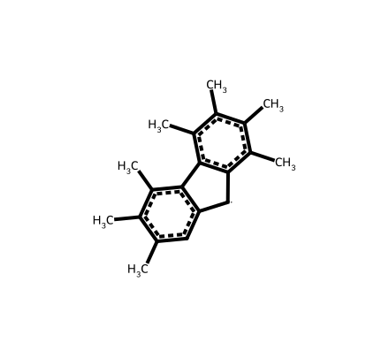 Cc1cc2c(c(C)c1C)-c1c(C)c(C)c(C)c(C)c1[CH]2